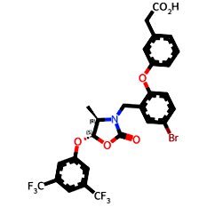 C[C@@H]1[C@@H](Oc2cc(C(F)(F)F)cc(C(F)(F)F)c2)OC(=O)N1Cc1cc(Br)ccc1Oc1cccc(CC(=O)O)c1